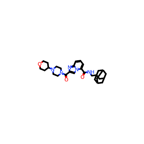 O=C(NCC12CC3CC(CC(C3)C1)C2)c1cccc2nc(C(=O)N3CCN(C4CCOCC4)CC3)cn12